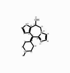 CN1CCC(=C2c3ccsc3C(O)Cn3ccnc32)CC1